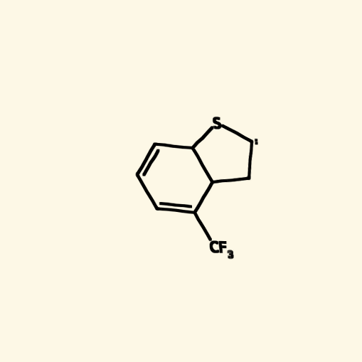 FC(F)(F)C1=CC=CC2S[C]CC12